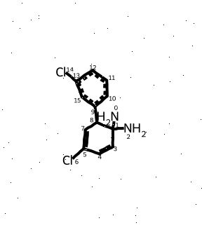 NC1(N)C=CC(Cl)=CC1c1cccc(Cl)c1